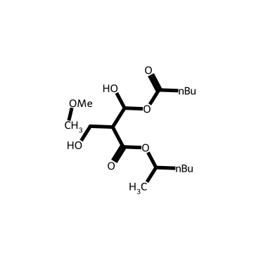 CCCCC(=O)OC(O)C(CO)C(=O)OC(C)CCCC.COC